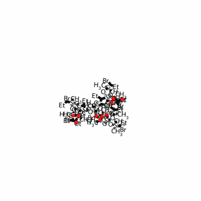 CCC(Br)[Si](C)(C)O[Si](O[Si](C)(C)C(Br)CC)(O[Si](C)(C)C(Br)CC)C(CC)[Si](C)(C)O[Si](C)(O[Si](C)(C)C(CC)[Si](O[Si](C)(C)C(Br)CC)(O[Si](C)(C)C(Br)CC)O[Si](C)(C)C(Br)CC)O[Si](C)(C)C(CC)[Si](O[Si](C)(C)C(Br)CC)(O[Si](C)(C)C(Br)CC)O[Si](C)(C)C(Br)CC